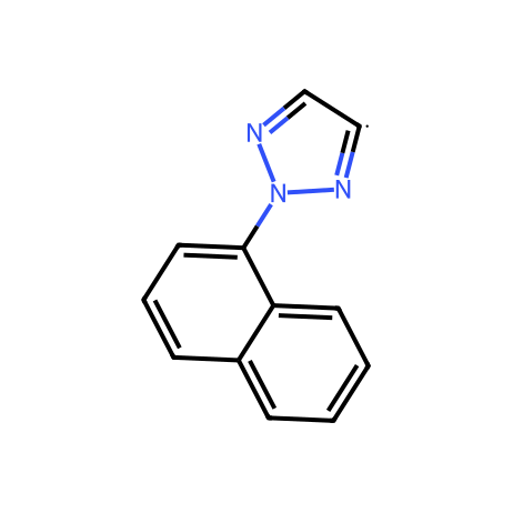 [c]1cnn(-c2cccc3ccccc23)n1